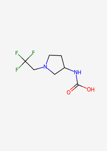 O=C(O)NC1CCN(CC(F)(F)F)C1